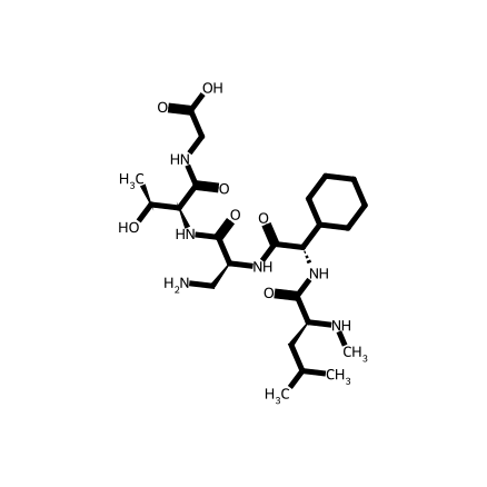 CN[C@@H](CC(C)C)C(=O)N[C@H](C(=O)N[C@@H](CN)C(=O)N[C@H](C(=O)NCC(=O)O)[C@H](C)O)C1CCCCC1